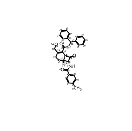 Cc1ccc(C(=O)N[C@H]2C(=O)N3C(C(=O)OC(c4ccccc4)c4ccccc4)=C(CO)CS[C@@H]23)cc1